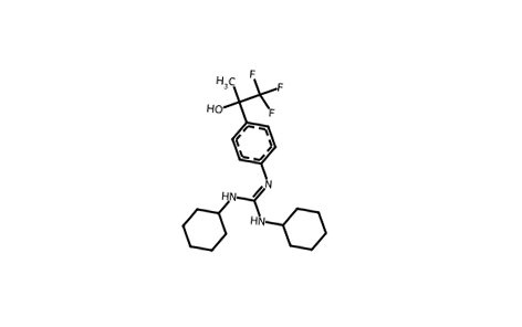 CC(O)(c1ccc(N=C(NC2CCCCC2)NC2CCCCC2)cc1)C(F)(F)F